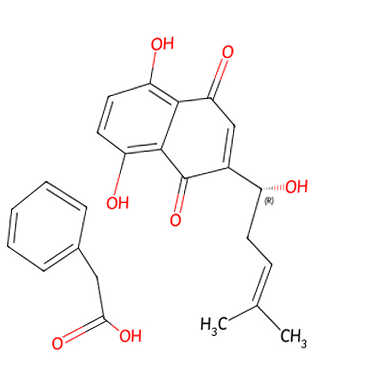 CC(C)=CC[C@@H](O)C1=CC(=O)c2c(O)ccc(O)c2C1=O.O=C(O)Cc1ccccc1